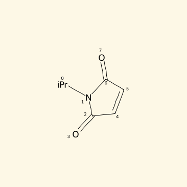 CC(C)N1C(=O)C=CC1=O